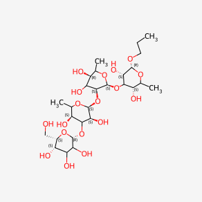 CCCO[C@@H]1OC(C)[C@H](O)C(O[C@@H]2OC(C)[C@H](O)C(O)[C@@H]2O[C@@H]2OC(C)[C@H](O)C(O[C@H]3O[C@@H](CO)[C@@H](O)C(O)C3O)[C@@H]2O)[C@@H]1O